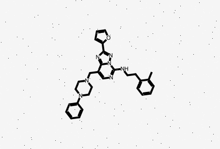 Cc1ccccc1CCNc1ncc(CN2CCN(c3ccccc3)CC2)c2nc(-c3ccco3)nn12